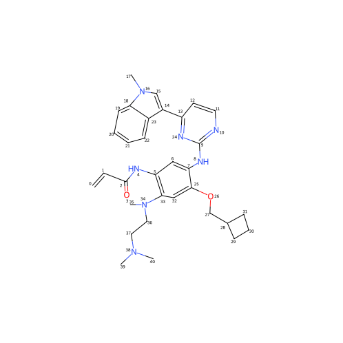 C=CC(=O)Nc1cc(Nc2nccc(-c3cn(C)c4ccccc34)n2)c(OCC2CCC2)cc1N(C)CCN(C)C